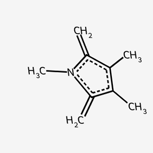 C=c1c(C)c(C)c(=C)n1C